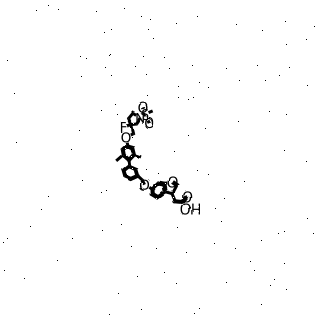 Cc1cc(OCC2(F)CCN(S(C)(=O)=O)C2)cc(C)c1-c1cccc(COc2ccc3c(c2)OCC3CC(=O)O)c1